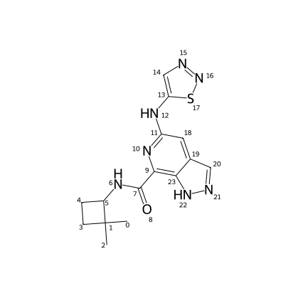 CC1(C)CCC1NC(=O)c1nc(Nc2cnns2)cc2cn[nH]c12